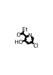 CCC(=O)c1ncc(Cl)cc1O